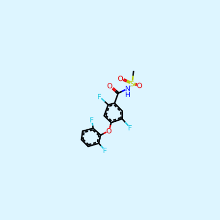 CS(=O)(=O)NC(=O)c1cc(F)c(Oc2c(F)cccc2F)cc1F